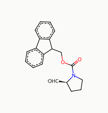 O=[C][C@@H]1CCCN1C(=O)OCC1c2ccccc2-c2ccccc21